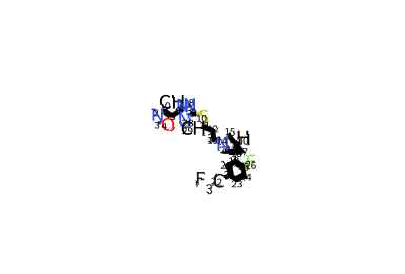 Cc1ncoc1-c1nnc(SCCCN2C[C@H]3C[C@@]3(c3cc(C(F)(F)F)ccc3F)C2)n1C